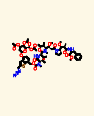 CCC(C)[C@@H]([C@@H](CC(=O)N1CCC[C@H]1[C@H](OC)[C@@H](C)C(=O)NC(Cc1ccccc1)C(=O)OC)OC)N(C)C(=O)[C@@H](NC(=O)[C@H](C(C)C)N(C)C(=O)OCc1ccc(O[C@H]2C[C@@H](OC(C)=O)[C@@H](OC(C)=O)[C@@H](COC(C)=O)O2)c2cc(CN=[N+]=[N-])sc12)C(C)C